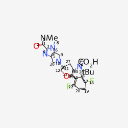 CNC(=O)c1nc2c(n1C)CN([C@H]1CO[C@H](c3cc(F)ccc3F)[C@@H](N(C(=O)O)C(C)(C)C)C1)C2